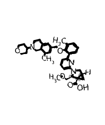 COC[C@H]1N(c2cccc(-c3cccc(C)c3OCc3cc(C)c4c(c3)CCN(C3CCOCC3)C4)n2)C[C@@H]2C[C@@]21C(=O)O